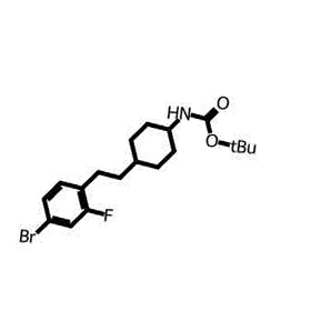 CC(C)(C)OC(=O)NC1CCC(CCc2ccc(Br)cc2F)CC1